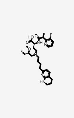 CO[C@H](CF)CN(CCCCc1ccc2c(n1)NCCC2)CC[C@H](NC(=O)C(C)c1ncccc1F)C(=O)O